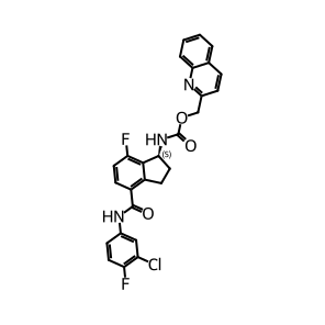 O=C(N[C@H]1CCc2c(C(=O)Nc3ccc(F)c(Cl)c3)ccc(F)c21)OCc1ccc2ccccc2n1